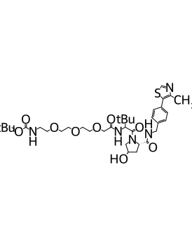 Cc1ncsc1-c1ccc(CNC(=O)[C@@H]2C[C@@H](O)CN2C(=O)C(NC(=O)COCCOCCOCCNC(=O)OC(C)(C)C)C(C)(C)C)cc1